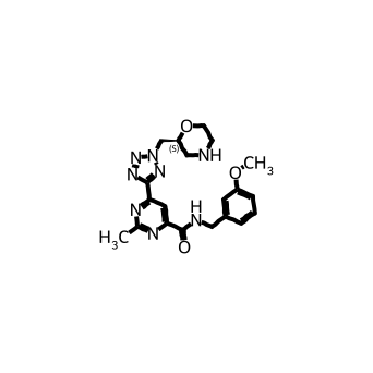 COc1cccc(CNC(=O)c2cc(-c3nnn(C[C@@H]4CNCCO4)n3)nc(C)n2)c1